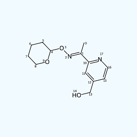 C/C(=N\OC1CCCCO1)c1cc(CO)ccn1